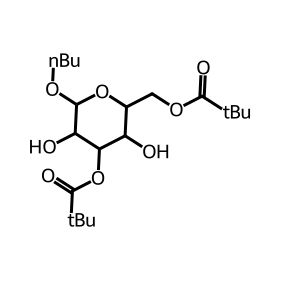 CCCCOC1OC(COC(=O)C(C)(C)C)C(O)C(OC(=O)C(C)(C)C)C1O